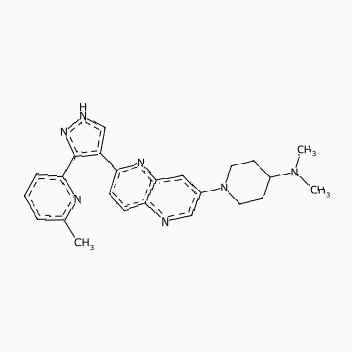 Cc1cccc(-c2n[nH]cc2-c2ccc3ncc(N4CCC(N(C)C)CC4)cc3n2)n1